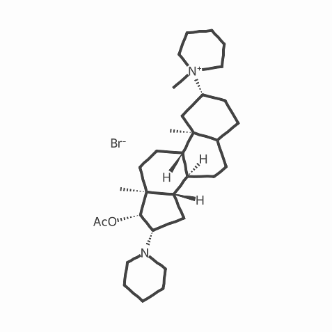 CC(=O)O[C@H]1[C@@H](N2CCCCC2)C[C@H]2[C@@H]3CCC4CC[C@@H]([N+]5(C)CCCCC5)C[C@]4(C)[C@H]3CC[C@@]21C.[Br-]